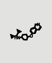 c1cc2cc(OC3CCC(NC(C4CC4)C4CC4)CC3)ccc2cn1